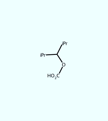 CC(C)C(OC(=O)O)C(C)C